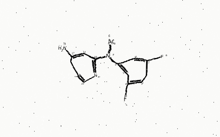 CC(=O)N(c1cc(F)cc(F)c1)c1cc(N)ccn1